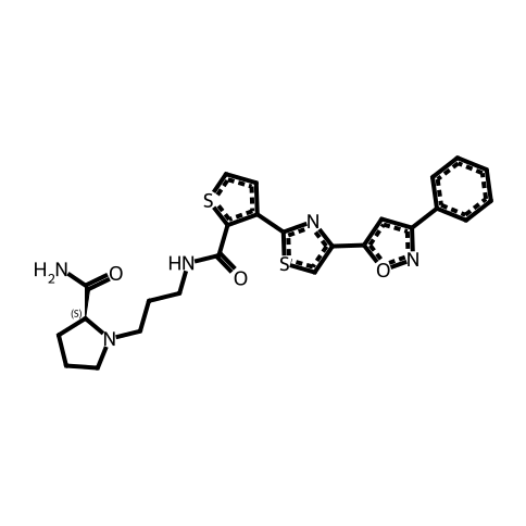 NC(=O)[C@@H]1CCCN1CCCNC(=O)c1sccc1-c1nc(-c2cc(-c3ccccc3)no2)cs1